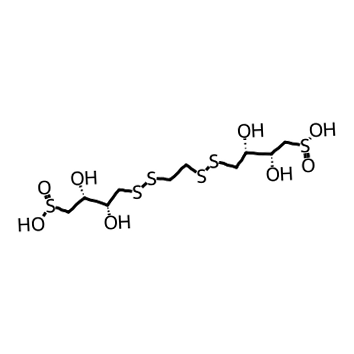 O=S(O)C[C@H](O)[C@@H](O)CSSCCSSC[C@H](O)[C@@H](O)CS(=O)O